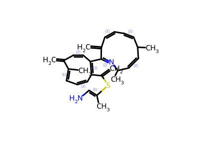 C=C1/C=C\C=C/C(C)/C=C\C(C)\N=C1/C1=C(C(=C)S/C(C)=C/N)/C=C\C=C(/C)C(=C)/C=C\1